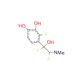 CNC(F)C(O)(F)c1ccc(O)c(O)c1F